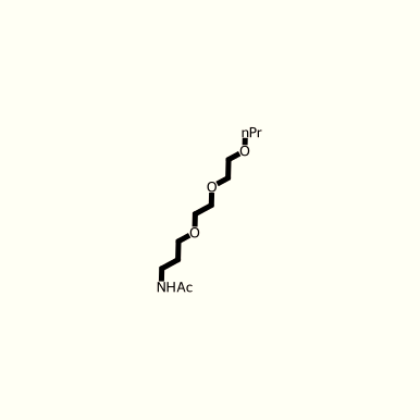 CCCOCCOCCOCCCNC(C)=O